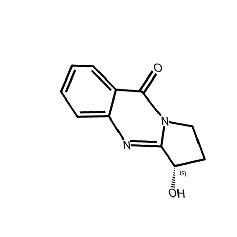 O=c1c2ccccc2nc2n1CC[C@@H]2O